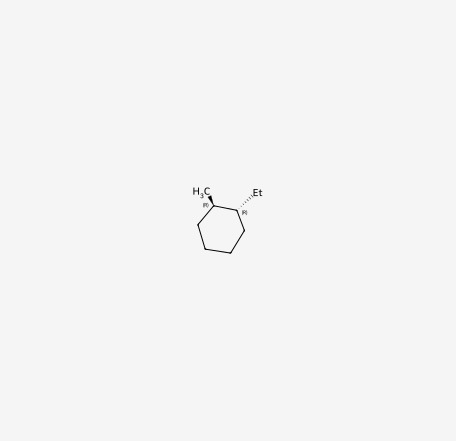 CC[C@@H]1CCCC[C@H]1C